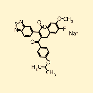 COc1ccc(CC(C(=O)c2ccc(OC(C)C)cc2)=C(C(=O)[O-])c2ccc3nsnc3c2)cc1F.[Na+]